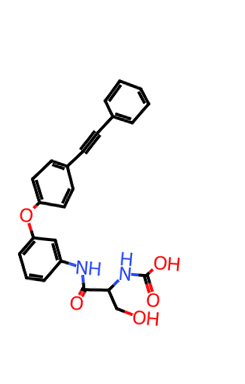 O=C(O)NC(CO)C(=O)Nc1cccc(Oc2ccc(C#Cc3ccccc3)cc2)c1